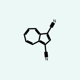 N#Cc1cc(C#N)c2cccccc1-2